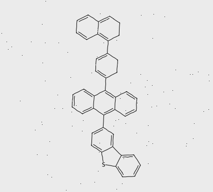 C1=C(C2=c3ccccc3=CCC2)CCC(c2c3ccccc3c(-c3ccc4sc5ccccc5c4c3)c3ccccc23)=C1